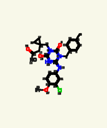 Cc1ccc(Cn2c(=O)n(CC3(CC(=O)N=O)CC3)c(=O)[nH]/c2=N\c2ccc(OC(C)C)c(Cl)c2)cc1